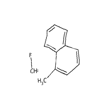 Cc1cccc2ccccc12.[CH]F